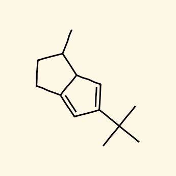 CC1CCC2=CC(C(C)(C)C)=CC21